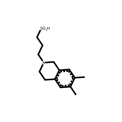 Cc1cc2c(cc1C)CN(CCCS(=O)(=O)O)CC2